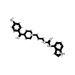 O=C(Nc1cccc2[nH]ccc12)OCCCN1CCC(C(=O)c2ccc(Br)cc2)CC1